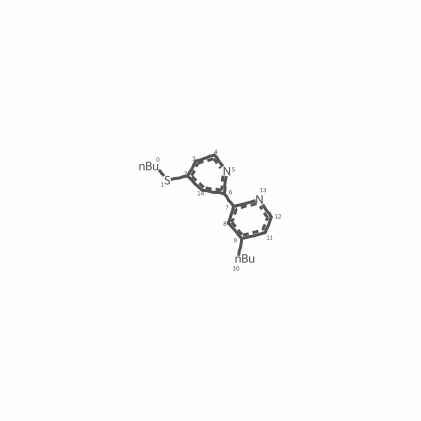 CCCCSc1ccnc(-c2cc(CCCC)ccn2)c1